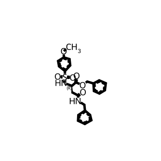 COc1ccc(S(=O)(=O)N[C@H](CC(=O)NCc2ccccc2)C(=O)OCc2ccccc2)cc1